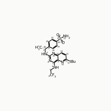 C[C@@H](Nc1nc(NCC(F)(F)F)c2nc(C(C)(C)C)ccc2n1)c1ccc(S(N)(=O)=O)cc1